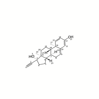 C#C[C@]1(O)CC[C@H]2[C@@H]3CC=C4C=C(O)C=C[C@]4(C)[C@H]3CC[C@@]21C